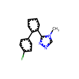 Cn1cnnc1-c1ccccc1-c1ccc(F)cc1